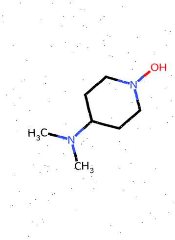 CN(C)C1CCN(O)CC1